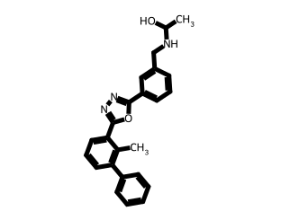 Cc1c(-c2ccccc2)cccc1-c1nnc(-c2cccc(CNC(C)O)c2)o1